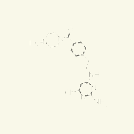 CN1CCN(C(=O)c2ccc(CCNc3cc(Cl)nc(N)n3)cc2)CC1